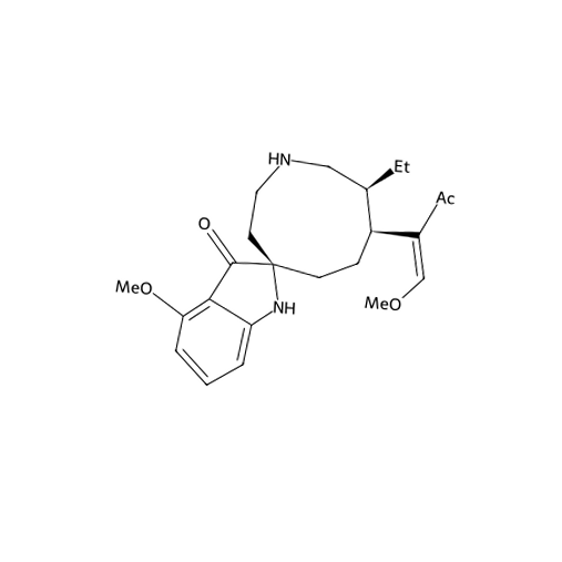 CC[C@@H]1CNCC[C@@]2(CC[C@@H]1/C(=C\OC)C(C)=O)Nc1cccc(OC)c1C2=O